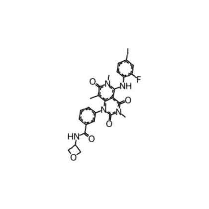 Cc1c(=O)n(C)c(Nc2ccc(I)cc2F)c2c(=O)n(C)c(=O)n(-c3cccc(C(=O)NC4COC4)c3)c12